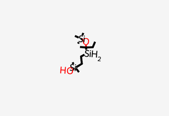 CCC(C)(O[Si](C)(C)C)[SiH2]CC[Si](C)(C)O